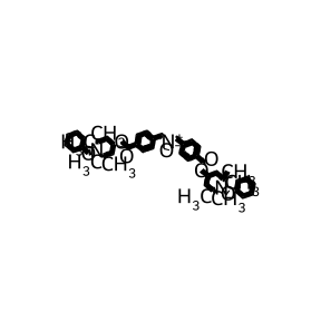 CC1(C)CC(OC(=O)c2ccc(C=[N+]([O-])Cc3ccc(C(=O)OC4CC(C)(C)N(OC5CCCCC5)C(C)(C)C4)cc3)cc2)CC(C)(C)N1OC1CCCCC1